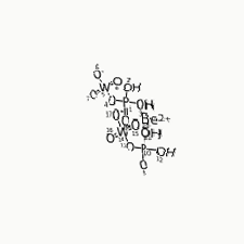 O=P(O)(O)[O][W](=[O])(=[O])[O-].O=P(O)(O)[O][W](=[O])(=[O])[O-].[Be+2]